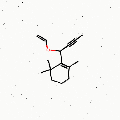 C=COC(C#CC)C1=C(C)CCCC1(C)C